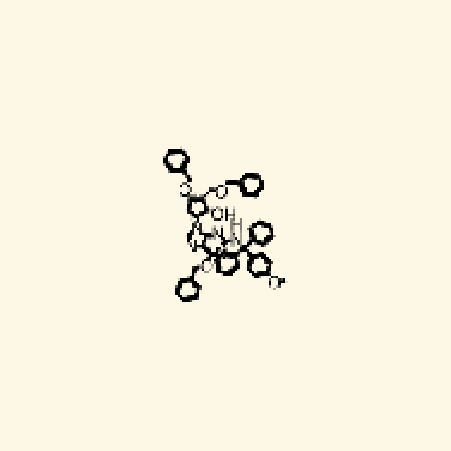 COc1ccc(C(Nc2nc(OCc3ccccc3)c3ncn([C@H]4C[C@H](OCc5ccccc5)[C@@H](COCc5ccccc5)[C@@H]4O)c3n2)(c2ccccc2)c2ccccc2)cc1